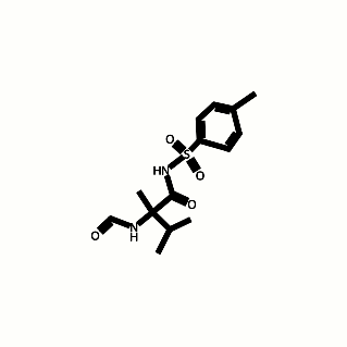 Cc1ccc(S(=O)(=O)NC(=O)C(C)(NC=O)C(C)C)cc1